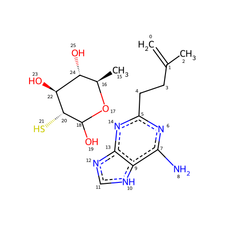 C=C(C)CCc1nc(N)c2[nH]cnc2n1.C[C@H]1OC(O)[C@H](S)[C@@H](O)[C@@H]1O